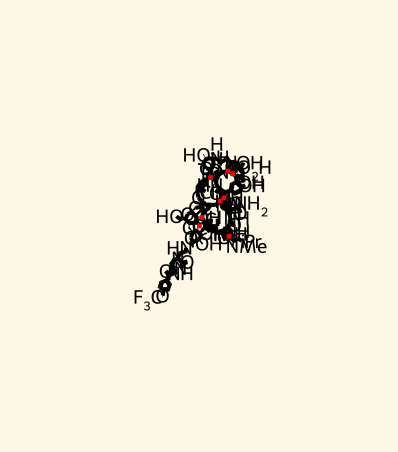 CN[C@H](CC(C)C)C(=O)NC1C(=O)N[C@@H](CC(N)=O)C(=O)N[C@H]2C(=O)N[C@H]3C(=O)N[C@H](C(=O)N[C@@H](C(=O)O)c4cc(O)cc(O)c4-c4cc3ccc4O)[C@H](O[C@H]3C[C@](C)(NCCN4CCOCC4)[C@@H](O)[C@H](C)O3)c3ccc(c(Cl)c3)Oc3cc2cc(c3O[C@@H]2O[C@H](CO)[C@@H](O[C@@H]3O[C@H](CNCCn4ccc(NC(=O)c5ccc(OC(F)(F)F)cc5)nc4=O)[C@H](O)[C@H](O)[C@H]3O)[C@H](O)[C@H]2O)Oc2ccc(cc2Cl)[C@H]1O